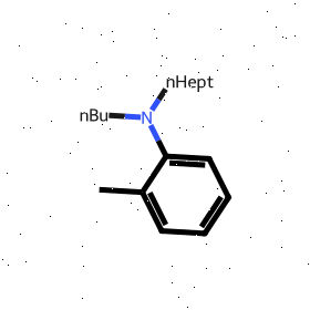 CCCCCCCN(CCCC)c1ccccc1C